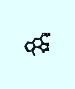 Cc1cccc2cc(C(=O)O)c3nnnn3c12